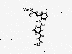 COC(=O)/C=C/c1ccccc1NCc1cccc(CCCO)c1